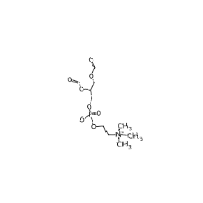 C[N+](C)(C)CCOP(=O)([O-])OCC(COC=O)OC=O